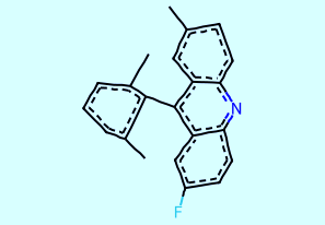 Cc1ccc2nc3ccc(F)cc3c(-c3c(C)cccc3C)c2c1